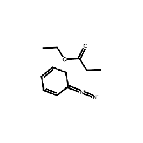 CCOC(=O)CC.[N-]=[N+]=C1C=CC=CC1